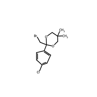 CC1(C)COC(CBr)(c2ccc(Cl)cc2)OC1